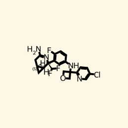 NC1=N[C@@](c2cc(NC3(c4ccc(Cl)cn4)COC3)ccc2F)(C(F)F)[C@H]2C[C@H]2C1